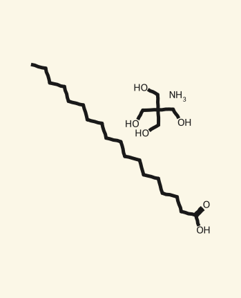 CCCCCCCCCCCCCCCCCC(=O)O.N.OCC(CO)(CO)CO